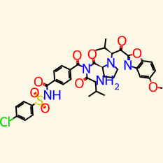 COc1ccc2oc(C(=O)[C@H](C(C)C)N3CCC[C@H]3C(=O)N(C(=O)c3ccc(C(=O)NS(=O)(=O)c4ccc(Cl)cc4)cc3)C(=O)[C@@H](N)C(C)C)nc2c1